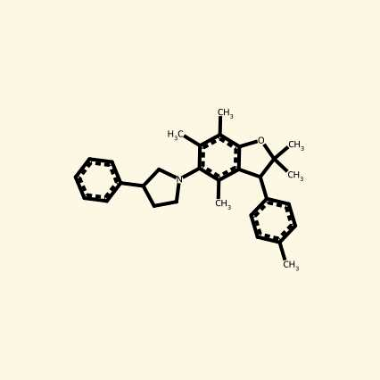 Cc1ccc(C2c3c(C)c(N4CCC(c5ccccc5)C4)c(C)c(C)c3OC2(C)C)cc1